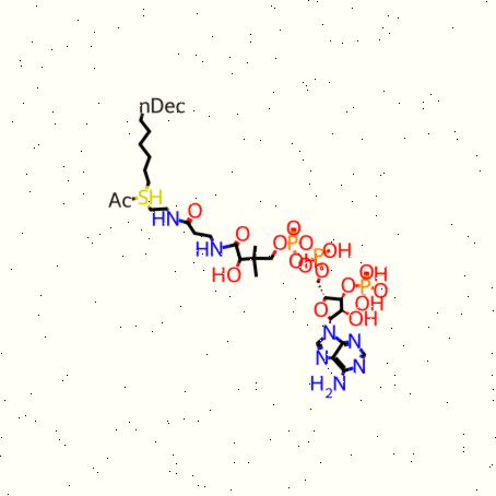 CCCCCCCCCCCCCCCC[SH](CCNC(=O)CCNC(=O)C(O)C(C)(C)COP(=O)(O)OP(=O)(O)OC[C@H]1O[C@@H](n2cnc3c(N)ncnc32)[C@H](O)[C@@H]1OP(=O)(O)O)C(C)=O